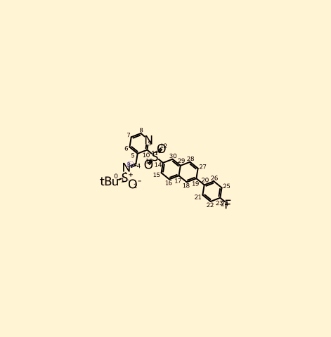 [CH2]C(C)(C)[S+]([O-])/N=C/c1cccnc1S(=O)(=O)c1ccc2cc(-c3ccc(F)cc3)ccc2c1